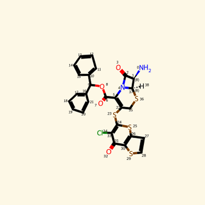 N[C@@H]1C(=O)N2C(C(=O)OC(c3ccccc3)c3ccccc3)=C(Sc3sc4ccsc4c(=O)c3Cl)CS[C@H]12